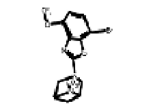 O=C(O)N1C2CC1CN(c1nc3c(OC(F)(F)F)ccc(Br)c3o1)C2